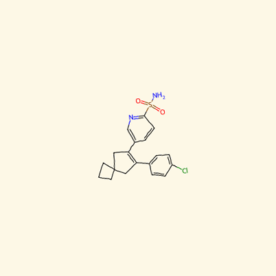 NS(=O)(=O)c1ccc(C2=C(c3ccc(Cl)cc3)CC3(CCC3)C2)cn1